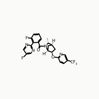 C[C@@H]1[C@H]2C[C@@H](Oc3ccc(C(F)(F)F)cn3)[C@H](C2)N1C(=O)c1cccc(F)c1-c1ncc(F)cn1